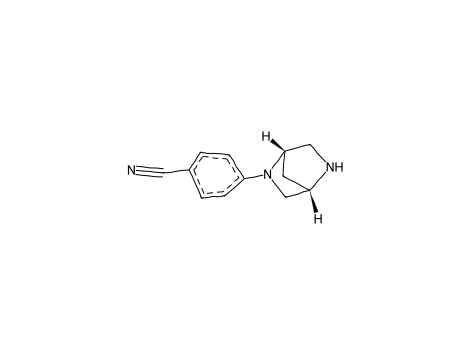 N#Cc1ccc(N2C[C@@H]3C[C@H]2CN3)cc1